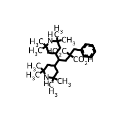 CC1(C)CC(C(CC(Cc2ccccc2)(C(=O)O)C(=O)O)C2CC(C)(C)NC(C)(C)C2)CC(C)(C)N1